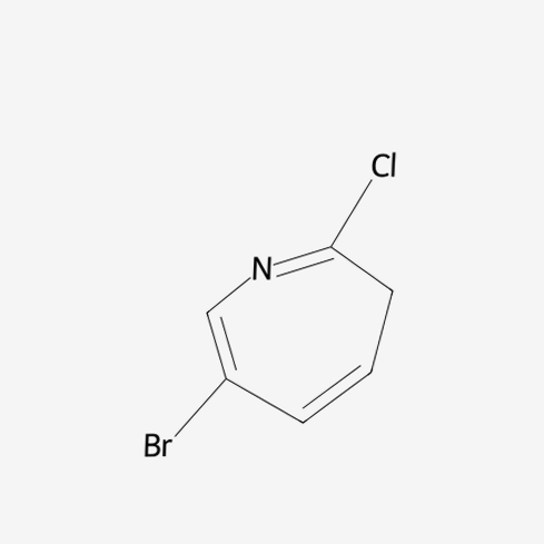 ClC1=NC=C(Br)C=CC1